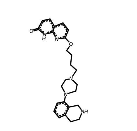 O=c1ccc2ccc(OCCCCN3CCN(c4cccc5c4CNCC5)CC3)nc2[nH]1